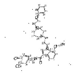 CC(C)Oc1cccc2c(C(=O)NCc3ccc(Cl)c(Cl)c3)cn(CCCN3CCCN(CCOc4ccccc4)CC3)c12